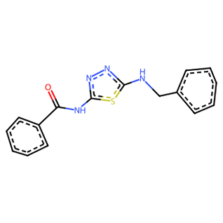 O=C(Nc1nnc(NCc2ccccc2)s1)c1ccccc1